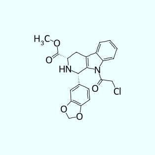 COC(=O)[C@@H]1Cc2c(n(C(=O)CCl)c3ccccc23)[C@H](c2ccc3c(c2)OCO3)N1